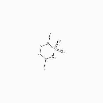 O=S1(=O)OC(F)CCC1F